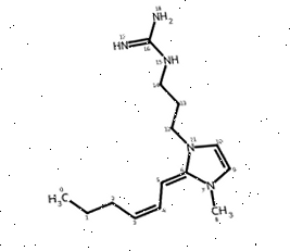 CCC/C=C\C=C1/N(C)C=CN1CCCNC(=N)N